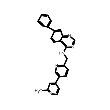 Cc1cc(-c2ccc(CNc3ncnc4cc(-c5ccccc5)ccc34)nc2)ccn1